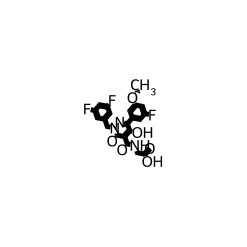 CCOc1cc(F)cc(-c2nn(Cc3cc(F)cc(F)c3)c(=O)c(C(=O)NCC(=O)O)c2O)c1